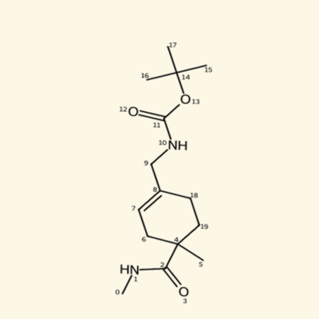 CNC(=O)C1(C)CC=C(CNC(=O)OC(C)(C)C)CC1